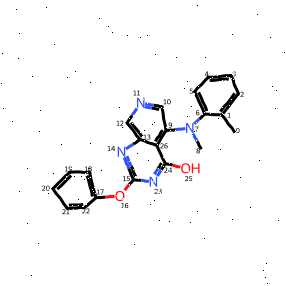 Cc1ccccc1N(C)c1cncc2nc(Oc3ccccc3)nc(O)c12